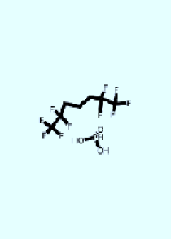 FC(F)(F)C(F)(F)CCCC(F)(F)C(F)(F)F.O=[PH](O)O